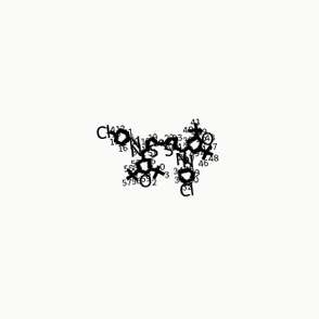 CC(C)(C)C1=CC(C(/N=N/c2ccc(Cl)cc2)c2ccc(-c3ccc(C(/N=N/c4ccc(Cl)cc4)C4C=C(C(C)(C)C)C(=O)C(C(C)(C)C)=C4)s3)s2)C=C(C(C)(C)C)C1=O